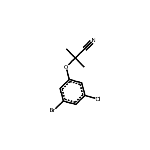 CC(C)(C#N)Oc1cc(Cl)cc(Br)c1